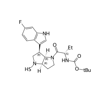 CC[C@H](NC(=O)OC(C)(C)C)C(=O)N1CC[C@@H]2[C@H]1[C@H](c1c[nH]c3cc(F)ccc13)CN2S